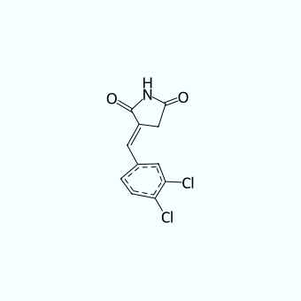 O=C1C/C(=C\c2ccc(Cl)c(Cl)c2)C(=O)N1